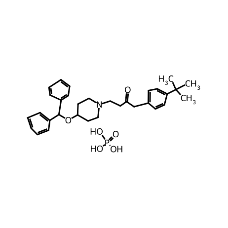 CC(C)(C)c1ccc(CC(=O)CCN2CCC(OC(c3ccccc3)c3ccccc3)CC2)cc1.O=P(O)(O)O